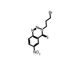 O=[N+]([O-])c1ccc2nnn(CCCBr)c(=S)c2c1